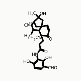 CC1C2C3(C=CC(=O)[C@@]2(C)CCC(=O)Nc2c(O)ccc(C=O)c2O)CC([C@@H]1Cl)C(C)(O)C3